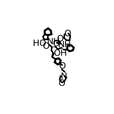 O=C(N[C@@H](Cc1ccccc1)[C@@H](O)C[C@@H](C/C=C/c1ccc(OCCN2CCOCC2)cc1)C(=O)N[C@H]1c2ccccc2C[C@H]1O)O[C@H]1CCCOC1